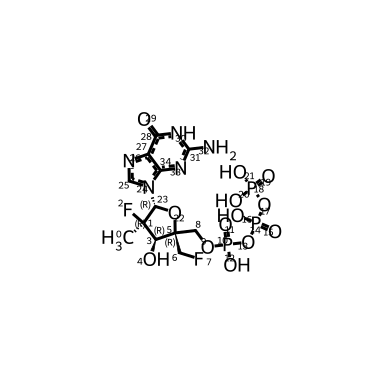 C[C@@]1(F)[C@H](O)[C@@](CF)(COP(=O)(O)OP(=O)(O)OP(=O)(O)O)O[C@H]1n1cnc2c(=O)[nH]c(N)nc21